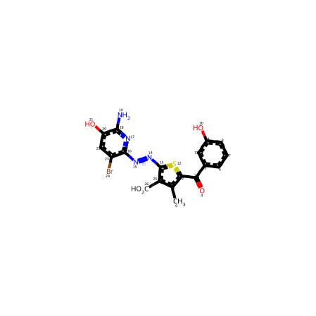 Cc1c(C(=O)c2cccc(O)c2)sc(/N=N/c2nc(N)c(O)cc2Br)c1C(=O)O